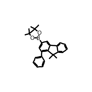 CC1(C)c2ccccc2-c2cc(B3OC(C)(C)C(C)(C)O3)cc(-c3ccccc3)c21